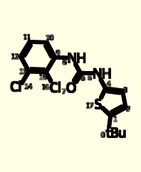 CC(C)(C)c1ccc(NC(=O)Nc2cccc(Cl)c2Cl)s1